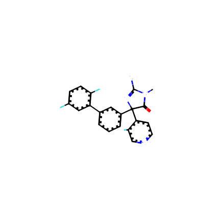 CN1C(=O)C(c2cccc(-c3cc(F)ccc3F)c2)(c2ccncc2F)N=C1N